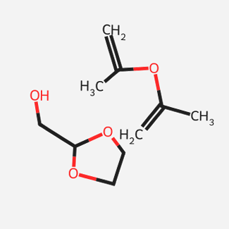 C=C(C)OC(=C)C.OCC1OCCO1